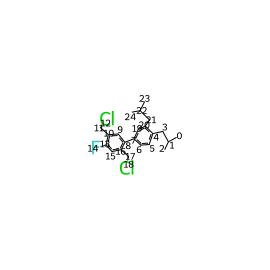 CC(C)Cc1ccc(-c2cc(CCl)c(F)cc2CCl)cc1CC(C)C